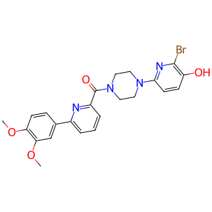 COc1ccc(-c2cccc(C(=O)N3CCN(c4ccc(O)c(Br)n4)CC3)n2)cc1OC